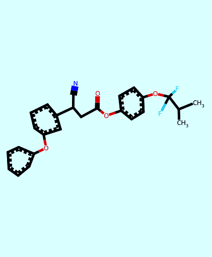 CC(C)C(F)(F)Oc1ccc(OC(=O)CC(C#N)c2cccc(Oc3ccccc3)c2)cc1